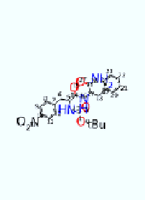 CC(C)(C)OC(=O)N[C@@H](Cc1ccc([N+](=O)[O-])cc1)C(=O)NC(Cc1ccccc1)C(N)=O